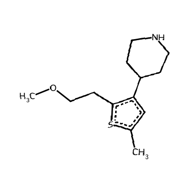 COCCc1sc(C)cc1C1CCNCC1